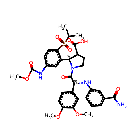 COC(=O)Nc1ccc(S(=O)(=O)C(C)C)c([C@H]2C(C(=O)O)CCN2C(=O)[C@H](Nc2cccc(C(N)=O)c2)c2ccc(OC)c(OC)c2)c1